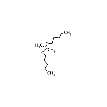 CCCCCO[Si](C)(C)OCCCCC